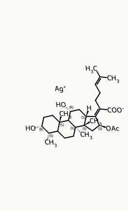 CC(=O)O[C@H]1C[C@@]2(C)[C@H](C[C@@H](O)C3[C@@]4(C)CC[C@@H](O)[C@@H](C)C4CC[C@@]32C)C1=C(CCC=C(C)C)C(=O)[O-].[Ag+]